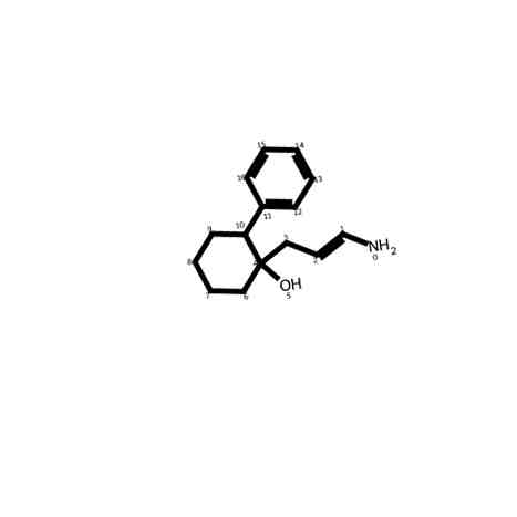 NC=CCC1(O)CCCCC1c1ccccc1